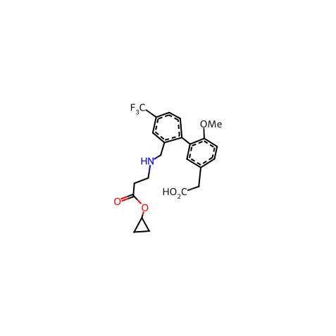 COc1ccc(CC(=O)O)cc1-c1ccc(C(F)(F)F)cc1CNCCC(=O)OC1CC1